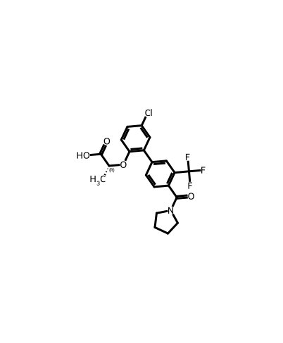 C[C@@H](Oc1ccc(Cl)cc1-c1ccc(C(=O)N2CCCC2)c(C(F)(F)F)c1)C(=O)O